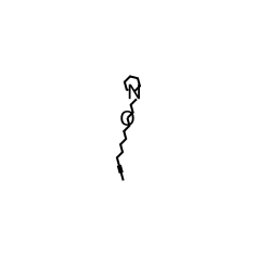 CC#CCCCCCCOCCCN1CCCCC1